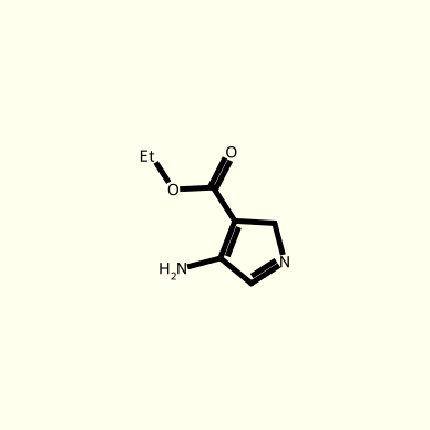 CCOC(=O)C1=C(N)C=NC1